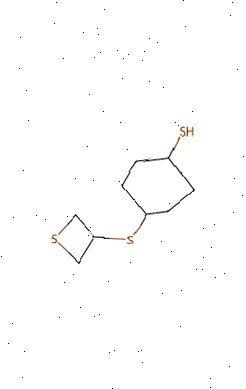 SC1CCC(SC2CSC2)CC1